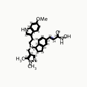 COc1ccc2c(CCN(Cc3cnn(C)c3C)C3CCc4cc(/C=C/C(=O)NO)ccc43)c[nH]c2c1